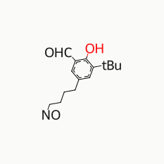 CC(C)(C)c1cc(CCCCN=O)cc(C=O)c1O